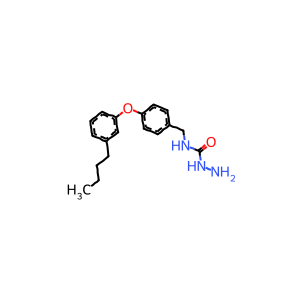 CCCCc1cccc(Oc2ccc(CNC(=O)NN)cc2)c1